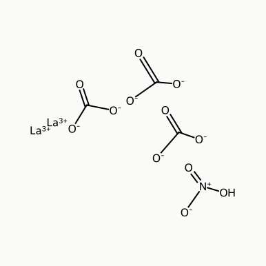 O=C([O-])[O-].O=C([O-])[O-].O=C([O-])[O-].O=[N+]([O-])O.[La+3].[La+3]